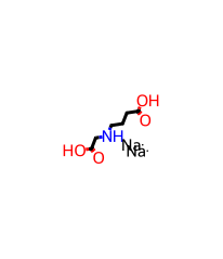 O=C(O)CCCNCC(=O)O.[Na].[Na]